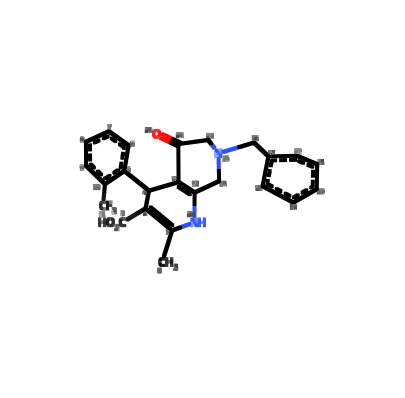 CC1=C(C(=O)O)C(c2ccccc2C(F)(F)F)C2=C(CN(Cc3ccccc3)CC2=O)N1